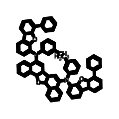 Cc1cccc(N(C2=CC3C(OC4c5ccccc5C(N(c5cccc(C)c5)c5cccc6c5OC5C(c7ccccc7)=CC=CC65)=CC43)c3ccccc32)c2cccc3c2OC2C(c4ccccc4)=CC=CC32)c1